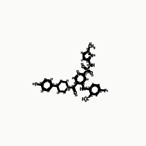 Cc1cc(F)ccc1Nc1cc(S(=O)(=O)Nc2ccn(C)n2)ncc1C(=O)N1CCC(c2ccc(F)cc2)CC1